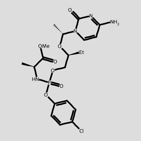 CC[C@@H](COP(=O)(N[C@@H](C)C(=O)OC)Oc1ccc(Cl)cc1)O[C@H](C)n1ccc(N)nc1=O